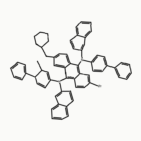 CC(C)c1ccc2c(N(C3=CC(C)C(c4ccccc4)C=C3)c3ccc4ccccc4c3)c3cc(CC4CCCCC4)ccc3c(N(c3ccc(-c4ccccc4)cc3)c3ccc4ccccc4c3)c2c1